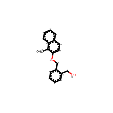 O=Cc1c(OCc2ccccc2CO)ccc2ccccc12